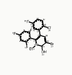 CCN1C(c2c(F)cc(F)cc2F)=C(c2cc(F)ccc2Cl)C=C(Br)C1O